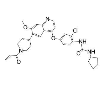 C=CC(=O)N1CC=C(c2cc3c(Oc4ccc(NC(=O)NC5CCCC5)c(Cl)c4)ccnc3cc2OC)CC1